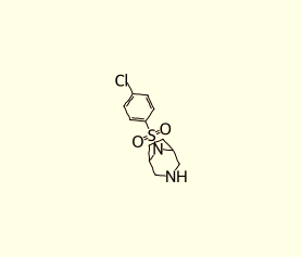 O=S(=O)(c1ccc(Cl)cc1)N1C2CCC1CNC2